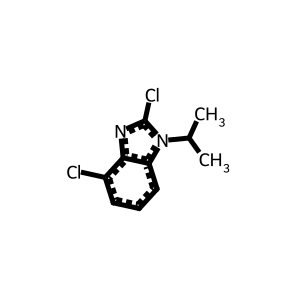 CC(C)n1c(Cl)nc2c(Cl)cccc21